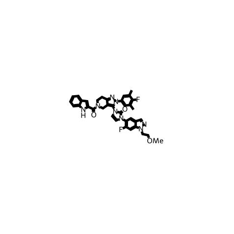 COCCn1ncc2cc(-n3ccn(-c4c5c(nn4-c4cc(C)c(F)c(C)c4)CCN(C(=O)c4cc6ccccc6[nH]4)C5)c3=O)c(F)cc21